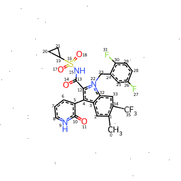 Cc1cc2c(-c3ccc[nH]c3=O)c(C(=O)NS(=O)(=O)C3CC3)n(Cc3cc(F)ccc3F)c2cc1C(F)(F)F